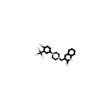 O=c1oc2ccccc2cc1CN1CCN(c2ccc(F)c(C(F)(F)F)c2)CC1